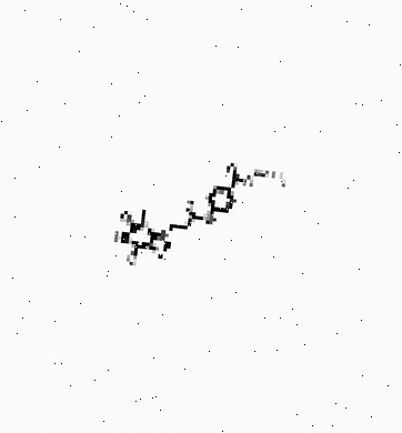 CCOC(=O)c1ccc(NC(=O)CCn2cnc3c(=O)[nH]c(=O)[nH]c32)cc1